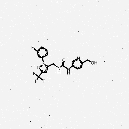 O=C(NCc1cc(C(F)(F)F)nn1-c1cccc(F)c1)Nc1ccc(CO)nc1